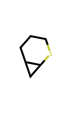 C1CSC2CC2C1